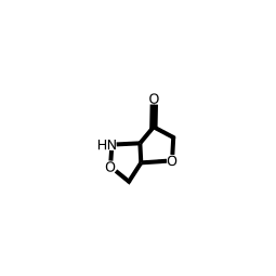 O=C1COC2CONC12